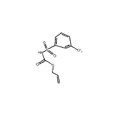 C=CCOC(=O)NS(=O)(=O)c1cccc(C(F)(F)F)c1